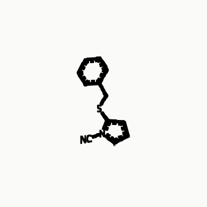 N#Cn1[c]ccc1SCc1ccccc1